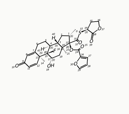 C[C@H]1C[C@H]2[C@@H]3CCC4=CC(=O)C=C[C@]4(C)[C@@]3(F)[C@@H](O)C[C@]2(C)[C@@]1(OC(=O)c1ccco1)C(=O)S[C@H]1CCOC1=O